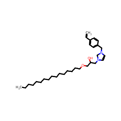 C=Cc1ccc(CN2C=CN(CC(O)COCCCCCCCCCCCCCCCC)C2)cc1